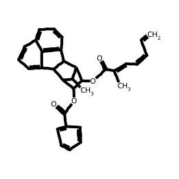 C=C/C=C\C=C(/C)C(=O)OC1C(OC(=O)c2ccccc2)C2C(C)C1C1c3cccc4cccc(c34)C12